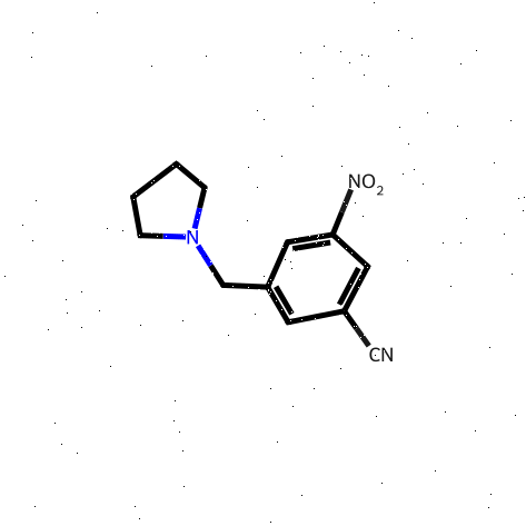 N#Cc1cc(CN2CCCC2)cc([N+](=O)[O-])c1